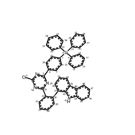 Clc1nc(-c2ccc([Si](c3ccccc3)(c3ccccc3)c3ccccc3)cc2)nc(-c2ccccc2-c2cccc3c2[nH]c2ccccc23)n1